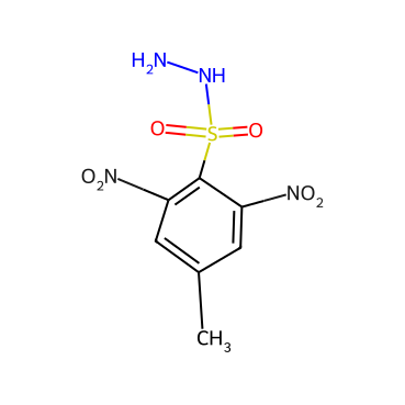 Cc1cc([N+](=O)[O-])c(S(=O)(=O)NN)c([N+](=O)[O-])c1